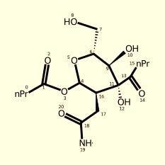 CCCC(=O)OC1O[C@H](CO)[C@@H](O)[C@@](O)(C(=O)CCC)[C@H]1CC([NH])=O